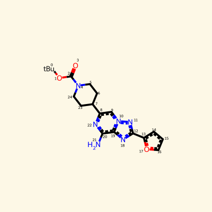 CC(C)(C)OC(=O)N1CCC(c2cn3nc(-c4ccco4)nc3c(N)n2)CC1